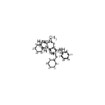 CN1Cc2c(nn(CC3CCCCC3)c2Nc2ccccc2)N2C1=N[C@@H]1CCCC[C@@H]12